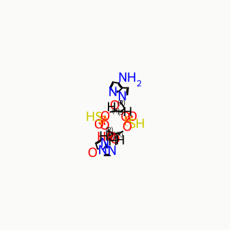 Nc1ccnc2c1ccn2[C@H]1C[C@@H]2OP(=O)(S)OC[C@H]3O[C@@H](n4ccc(=O)n5ccnc45)[C@H](OP(=O)(S)OC[C@H]2O1)[C@@H]3O